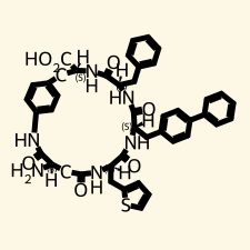 N[C@@H]1CC(=O)N[C@H](Cc2cccs2)C(=O)N[C@@H](Cc2ccc(-c3ccccc3)cc2)C(=O)N[C@H](Cc2ccccc2)C(=O)N[C@H](C(=O)O)Cc2ccc(cc2)NC1=O